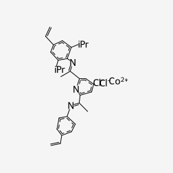 C=Cc1ccc(/N=C(\C)c2cccc(/C(C)=N/c3c(C(C)C)cc(C=C)cc3C(C)C)n2)cc1.[Cl-].[Cl-].[Co+2]